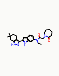 CCN(C(=O)CN1CCCCCC1=O)c1ccc2cc(-c3n[nH]c4c3CCC(C)(C)C4)[nH]c2c1